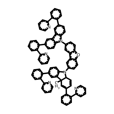 CC12C=C(c3ccccc3-c3ccccn3)C=CC1N(c1ccc3oc4ccc(-n5c6ccc(-c7ccccc7-c7ccccn7)cc6c6cc(-c7ccccc7-c7ccccn7)ccc65)cc4c3c1)c1ccc(-c3ccccc3-c3ccccn3)cc12